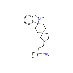 CN(C)C1(c2ccccc2)CCC2(CCN(CCC3(C#N)CCC3)C2)CC1